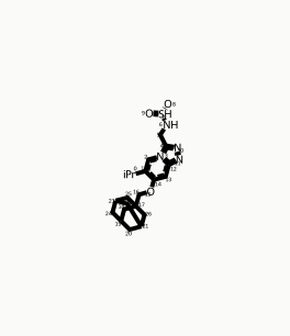 CC(C)c1cn2c(CN[SH](=O)=O)nnc2cc1OCC12CC3CC(CC(C3)C1)C2